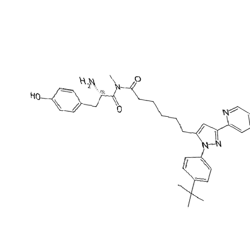 CN(C(=O)CCCCCc1cc(-c2ccccn2)nn1-c1ccc(C(C)(C)C)cc1)C(=O)[C@@H](N)Cc1ccc(O)cc1